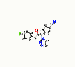 N#Cc1ccc(C(C(=O)Cc2ccc(F)cc2)n2ccnn2)cc1